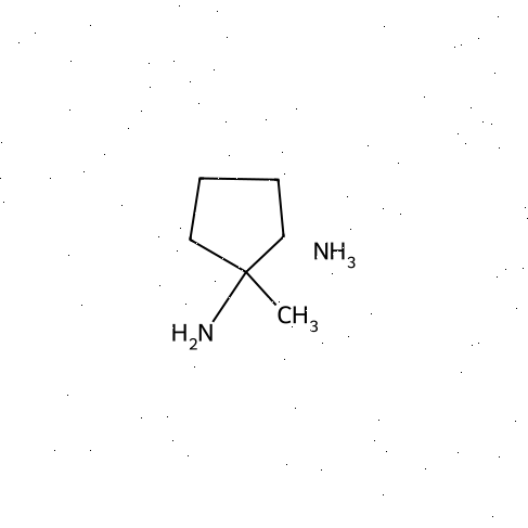 CC1(N)CCCC1.N